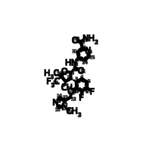 C[C@H]1[C@@H](c2ccc(F)c(F)c2OCc2cncn2C)[C@H](C(=O)Nc2ccnc(C(N)=O)c2)O[C@@]1(C)C(F)(F)F